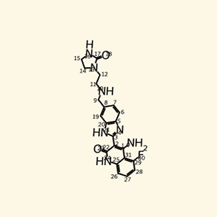 Nc1c(-c2nc3ccc(CNCCN4CCNC4=O)cc3[nH]2)c(=O)[nH]c2cccc(F)c12